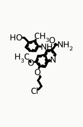 COc1cc2c(Nc3cccc(CO)c3C)c(C(N)=O)cnc2cc1OCCCCl